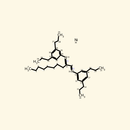 CCCCCCCCC(/C=N/c1cc(CCC)cc(CCC)c1)=N\c1cc(CCC)cc(CCC)c1.[Ni]